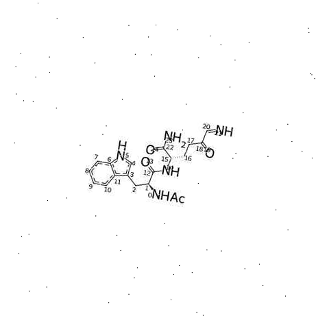 CC(=O)N[C@@H](Cc1c[nH]c2ccccc12)C(=O)N[C@@H](CCC(=O)C=N)C(N)=O